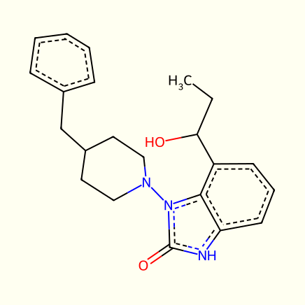 CCC(O)c1cccc2[nH]c(=O)n(N3CCC(Cc4ccccc4)CC3)c12